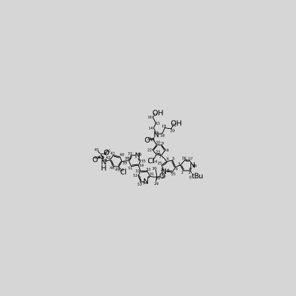 CC(C)(C)c1cc(-c2cc(-c3ccc(C(=O)N(CCCO)CCCO)cc3Cl)c[n+](OC(C)(C)c3cc(-c4cncc(-c5ccc(NS(C)(=O)=O)cc5Cl)c4)ccn3)c2)ccn1